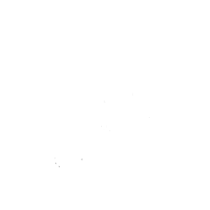 CCOC(O)CO[CH]C[NH]